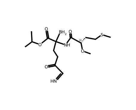 BC(CCC(=O)C=N)(NC(=O)[C@H](CCSC)OC)C(=O)OC(C)C